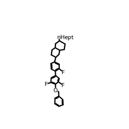 CCCCCCCC1CCC2CC(c3ccc(-c4cc(F)c(OCc5ccccc5)c(F)c4)c(F)c3)CCC2C1